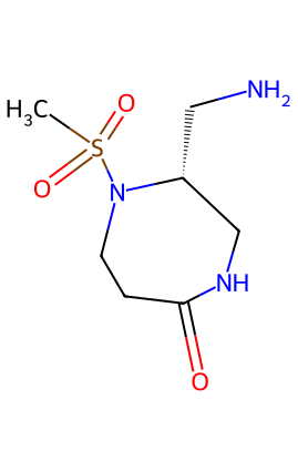 CS(=O)(=O)N1CCC(=O)NC[C@H]1CN